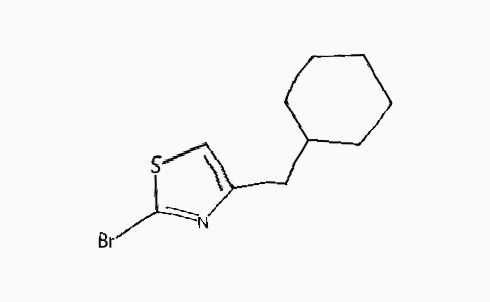 Brc1nc(CC2CCCCC2)cs1